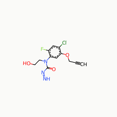 C#CCOc1cc(N(CCO)C(=O)N=N)c(F)cc1Cl